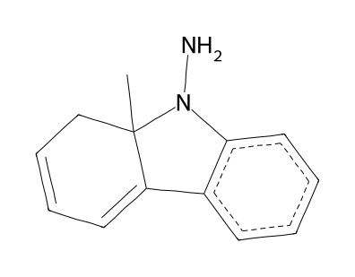 CC12CC=CC=C1c1ccccc1N2N